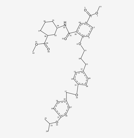 COC(=O)c1ccc(OCCCc2ccc(OCc3ccc(OC(C)C)cc3)cc2)c(C(=O)NC2CCCC(C(=O)OC)C2)c1